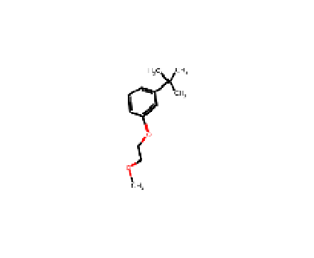 COCCOc1cccc(C(C)(C)C)c1